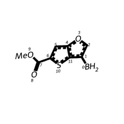 Bc1coc2cc(C(=O)OC)sc12